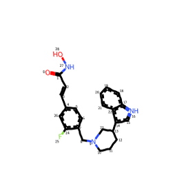 O=C(C=Cc1ccc(CN2CCCC(c3c[nH]c4ccccc34)C2)c(F)c1)NO